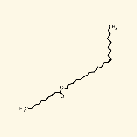 CCCCCCCC/C=C\CCCCCCCCCCCCOC(=O)CCCCCCCCC